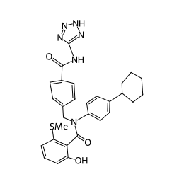 CSc1cccc(O)c1C(=O)N(Cc1ccc(C(=O)Nc2nn[nH]n2)cc1)c1ccc(C2CCCCC2)cc1